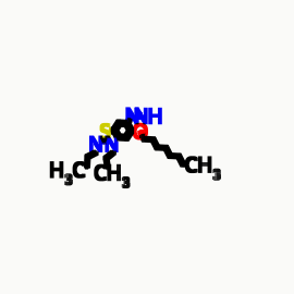 CCCCCCCCOc1cc2c(cc1N=N)s/c(=N/CCCC)n2CCCC